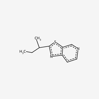 CCC(C)c1nc2ccncc2s1